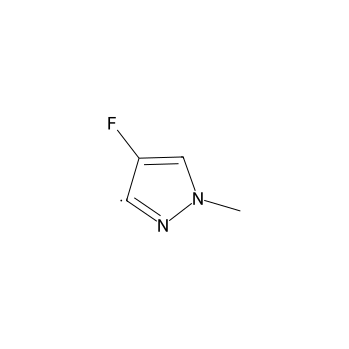 Cn1cc(F)[c]n1